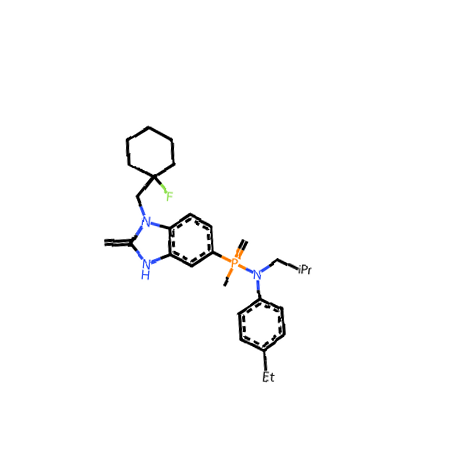 C=C1Nc2cc(P(=C)(C)N(CC(C)C)c3ccc(CC)cc3)ccc2N1CC1(F)CCCCC1